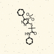 CC(C)(Sc1nnc(-c2ccccc2)n1S(C)(=O)=O)C(=O)Nc1ccccc1